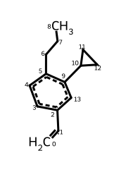 C=[C]c1ccc(CCC)c(C2CC2)c1